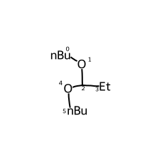 CCCCOC(CC)OCCCC